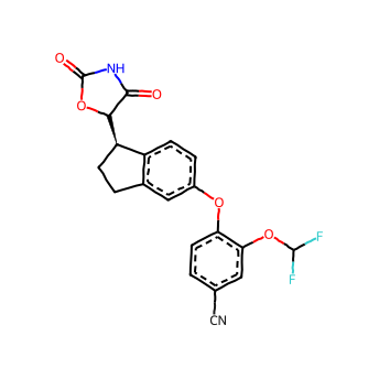 N#Cc1ccc(Oc2ccc3c(c2)CC[C@H]3C2OC(=O)NC2=O)c(OC(F)F)c1